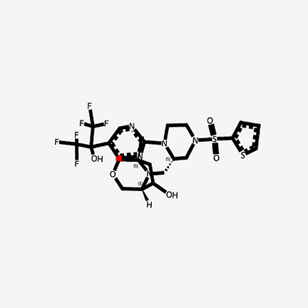 O=S(=O)(c1cccs1)N1CCN(c2ncc(C(O)(C(F)(F)F)C(F)(F)F)cn2)[C@@H](CN2[C@@H]3COC[C@H]2C(O)C3)C1